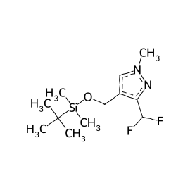 Cn1cc(CO[Si](C)(C)C(C)(C)C)c(C(F)F)n1